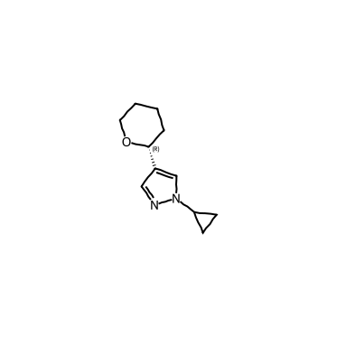 c1nn(C2CC2)cc1[C@H]1CCCCO1